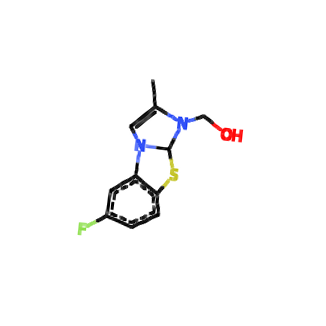 CC1=CN2c3cc(F)ccc3SC2N1CO